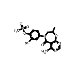 CC1CN(c2ccc(OS(=O)(=O)C(F)(F)F)c(C#N)c2)C(=O)c2c(N)ncnc2O1